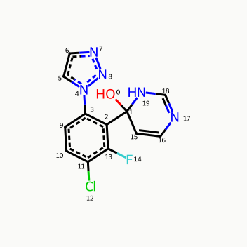 OC1(c2c(-n3ccnn3)ccc(Cl)c2F)C=CN=CN1